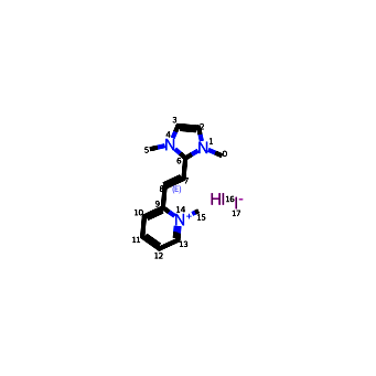 CN1C=CN(C)C1/C=C/c1cccc[n+]1C.I.[I-]